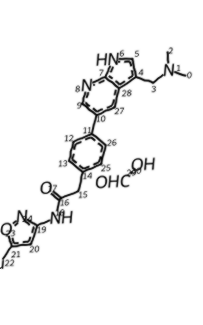 CN(C)Cc1c[nH]c2ncc(-c3ccc(CC(=O)Nc4cc(C(C)(C)C)on4)cc3)cc12.O=CO